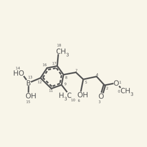 COC(=O)CC(O)Cc1c(C)cc(B(O)O)cc1C